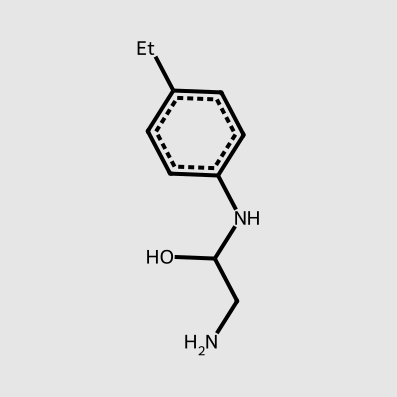 CCc1ccc(NC(O)CN)cc1